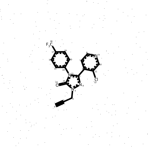 C#CCn1nc(-c2ccncc2Cl)n(-c2ccc(C(F)(F)F)cc2)c1=O